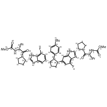 COC(=O)N[C@H](C(=O)N1CCC[C@H]1c1nc2c(F)cc([C@H]3CC[C@H](c4cc(F)c5[nH]c([C@@H]6CCCN6C(=O)[C@@H](NC(=O)OC)C(C)C)nc5c4)N3c3ccc(C(C)(C)C)cc3)cc2[nH]1)C(C)C